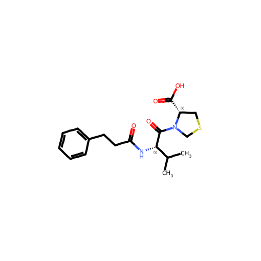 CC(C)[C@H](NC(=O)CCc1ccccc1)C(=O)N1CSC[C@H]1C(=O)O